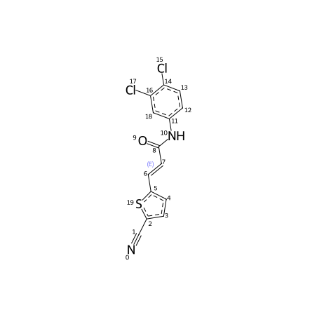 N#Cc1ccc(/C=C/C(=O)Nc2ccc(Cl)c(Cl)c2)s1